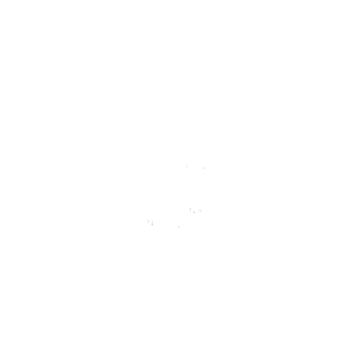 CCCC(C)c1c[nH]cn1